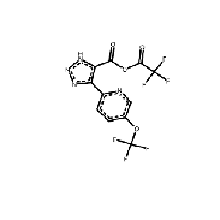 O=C(OC(=O)C(F)(F)F)c1[nH]nnc1-c1ccc(OC(F)(F)F)cn1